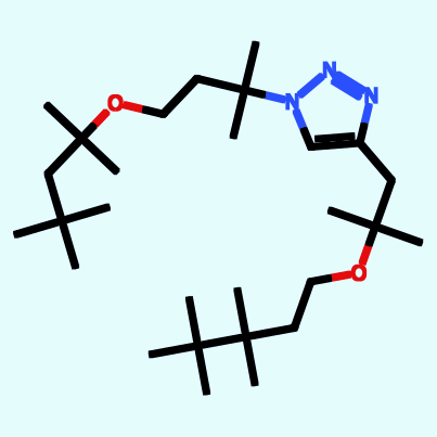 CC(C)(C)CC(C)(C)OCCC(C)(C)n1cc(CC(C)(C)OCCC(C)(C)C(C)(C)C)nn1